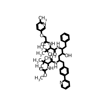 COC(=O)NC(C(=O)NC(Cc1ccc(-c2ccccn2)cc1)CC(O)C(Cc1ccccc1)NC(=O)C(NC(=O)COc1ccc(C)nc1)C(C)(C)C)C(C)(C)C